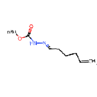 C=CCCC/C=N/NC(=O)OCCCC